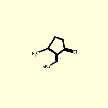 CCCC/C=C1/C(=O)CCC1C